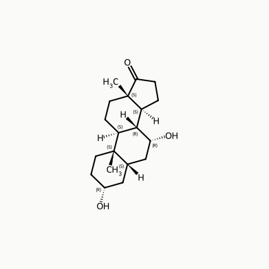 C[C@]12CC[C@@H](O)C[C@H]1C[C@@H](O)[C@@H]1[C@@H]2CC[C@]2(C)C(=O)CC[C@@H]12